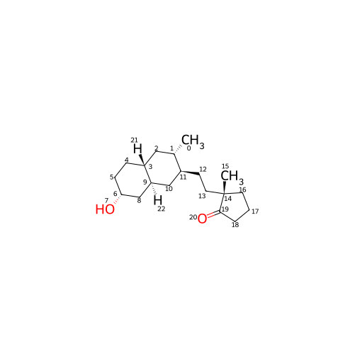 C[C@H]1C[C@H]2CC[C@@H](O)C[C@@H]2C[C@@H]1CC[C@]1(C)CCCC1=O